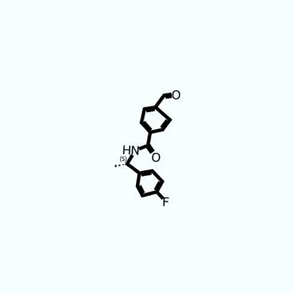 C[C@H](NC(=O)c1ccc(C=O)cc1)c1ccc(F)cc1